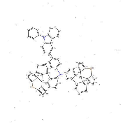 C1=Cc2c(n(-c3ccccc3)c3ccc(-c4ccc(N(c5ccc6c(c5)-c5ccccc5C65c6ccccc6Sc6ccccc65)c5cccc6c5-c5ccccc5C65c6ccccc6Sc6ccccc65)cc4)cc23)CC1